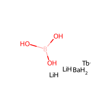 OB(O)O.[BaH2].[LiH].[LiH].[Tb]